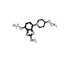 COc1ccc(N2CCC(OC)CC2)c2sc(N)nc12